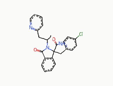 CC(Cc1ccccn1)N1C(=O)c2ccccc2C1(Cc1ccc(Cl)cc1)C(N)=O